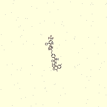 Cc1ccc(C(C)C)c(N2C(=O)CSC2=NC(=O)Nc2ccc(CCc3ncn(-c4ncc(C(F)(F)F)cc4Cl)n3)cc2)c1